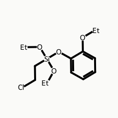 CCOc1ccccc1O[Si](CCCl)(OCC)OCC